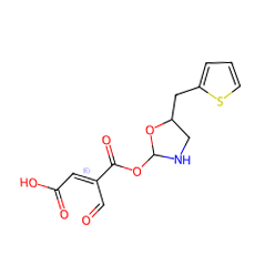 O=C/C(=C\C(=O)O)C(=O)OC1NCC(Cc2cccs2)O1